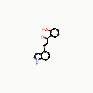 O=C(C=Cc1cccc2[nH]ccc12)c1ccccc1O